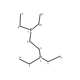 CCP(CC)CCP(CC)CC